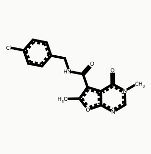 Cc1oc2ncn(C)c(=O)c2c1C(=O)NCc1ccc(Cl)cc1